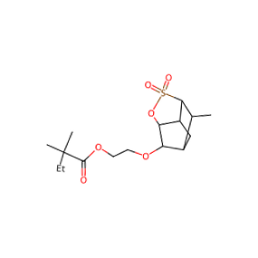 CCC(C)(C)C(=O)OCCOC1C2CC3C1OS(=O)(=O)C3C2C